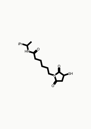 CC(C)C(C)NC(=O)CCCCCN1C(=O)CC(S)C1=O